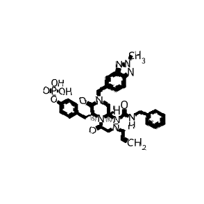 C=CCN1CC(=O)N2[C@@H](Cc3ccc(OP(=O)(O)O)cc3)C(=O)N(Cc3ccc4nn(C)nc4c3)C[C@@H]2N1C(=O)NCc1ccccc1